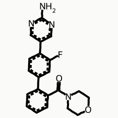 Nc1ncc(-c2ccc(-c3ccccc3C(=O)N3CCOCC3)cc2F)cn1